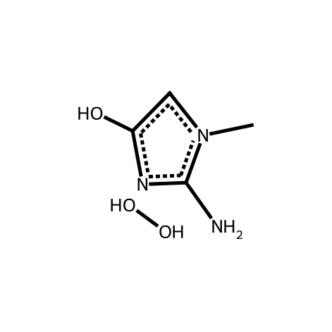 Cn1cc(O)nc1N.OO